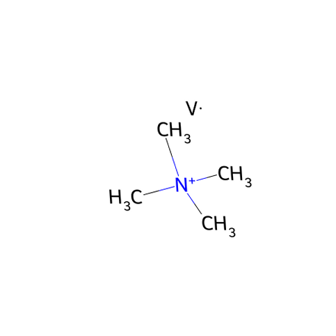 C[N+](C)(C)C.[V]